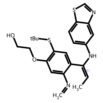 C=Nc1cc(OCCO)c(SC(C)(C)C)cc1/C(=C\C)Nc1ccc2scnc2c1